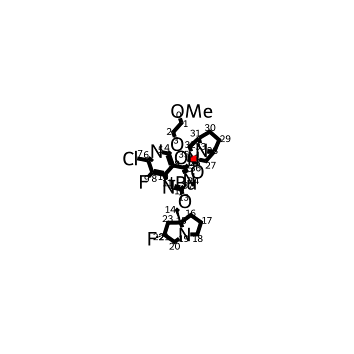 COCCOc1nc(Cl)c(F)c2nc(OC[C@@]34CCCN3C[C@H](F)C4)nc(N3CC4CCC(C3)N4C(=O)OC(C)(C)C)c12